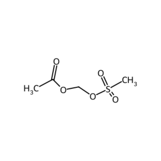 CC(=O)OCOS(C)(=O)=O